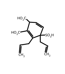 C=CCC1=C(C(=O)O)C(C(=O)O)C=CC1(CC=C)S(=O)(=O)O